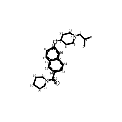 CC(C)CN1CCC(Oc2ccc3cc(C(=O)N4CCCCC4)ccc3c2)CC1